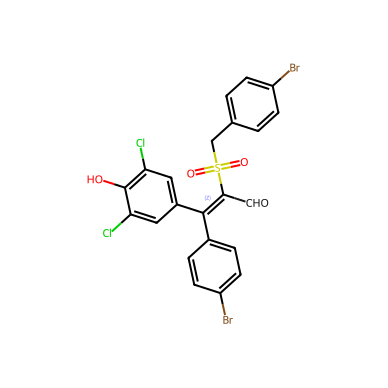 O=C/C(=C(\c1ccc(Br)cc1)c1cc(Cl)c(O)c(Cl)c1)S(=O)(=O)Cc1ccc(Br)cc1